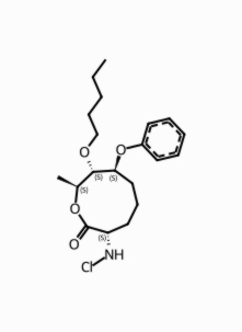 CCCCCO[C@H]1[C@H](C)OC(=O)[C@@H](NCl)CCC[C@@H]1Oc1ccccc1